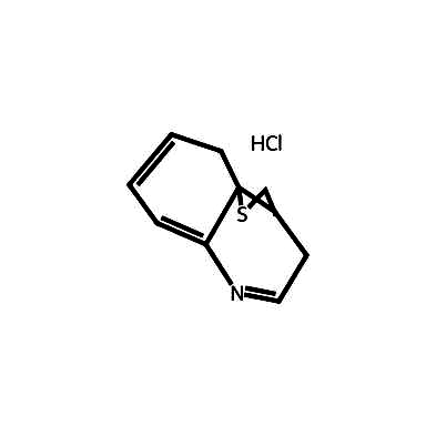 C1=CCC23SCCC2CC=NC3=C1.Cl